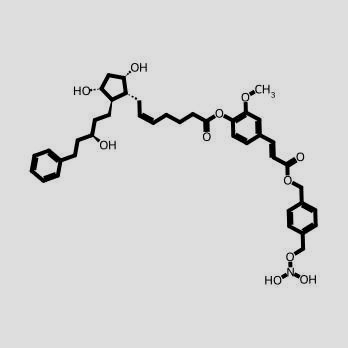 COc1cc(/C=C/C(=O)OCc2ccc(CON(O)O)cc2)ccc1OC(=O)CCC/C=C\C[C@@H]1[C@@H](CC[C@@H](O)CCc2ccccc2)[C@H](O)C[C@@H]1O